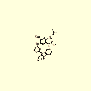 C=CC(=O)Nc1cc(Nc2nccc(-c3c(CO)[nH]c4ccccc34)n2)c(OC)cc1N(C)CCN(C)C